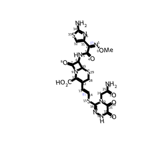 CO/N=C(\C(=O)NC1C(=O)N2C(C(=O)O)=C(/C=C/Sc3n[nH]c(=O)c(=O)n3CC(N)=O)CSC12)c1csc(N)n1